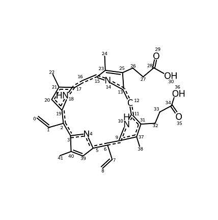 C=Cc1c2nc(c(C=C)c3[nH]c(cc4nc(cc5[nH]c1cc5C)C(C)=C4CCC(=O)O)c(CCC(=O)O)c3C)C=C2C